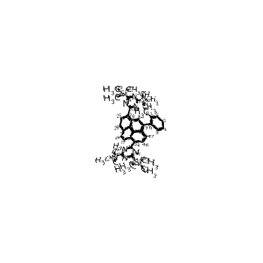 Cc1ccccc1-c1cc2c(-c3nc([Si](C)(C)C)nc([Si](C)(C)C)n3)ccc3ccc4c(-c5nc([Si](C)(C)C)nc([Si](C)(C)C)n5)ccc1c4c32